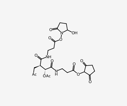 CC(=O)C[C@@H](C(=O)NCCC(=O)ON1C(=O)CCC1O)[C@@H](OC(C)=O)C(=O)NCCC(=O)OC1C(=O)CCC1=O